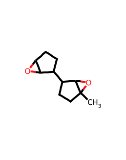 CC12CCC(C3CCC4OC43)C1O2